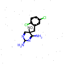 NC1=NC(N)N=CC1(Cc1cc(Cl)ccc1Cl)[N+](=O)[O-]